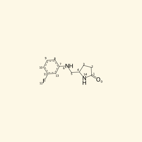 O=C1CCC(CNc2cccc(F)c2)N1